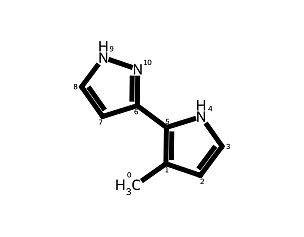 Cc1cc[nH]c1-c1cc[nH]n1